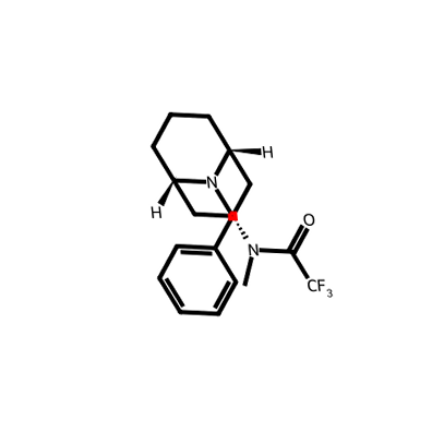 CN(C(=O)C(F)(F)F)[C@H]1C[C@H]2CCC[C@@H](C1)N2Cc1ccccc1